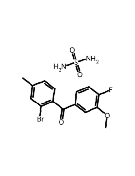 COc1cc(C(=O)c2ccc(C)cc2Br)ccc1F.NS(N)(=O)=O